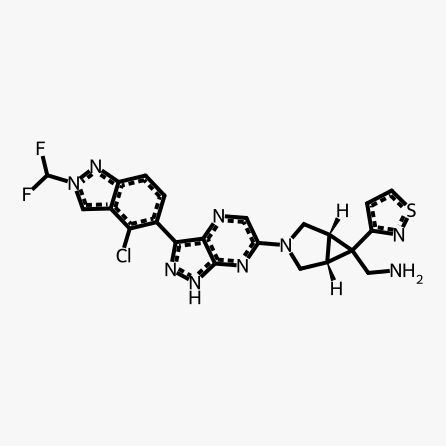 NCC1(c2ccsn2)[C@@H]2CN(c3cnc4c(-c5ccc6nn(C(F)F)cc6c5Cl)n[nH]c4n3)C[C@@H]21